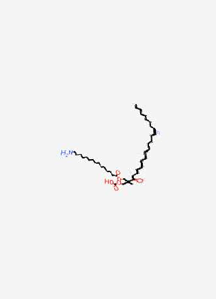 CCCCCCCC/C=C\CCCCCCCCCCCC(=O)C(C)(COC(=O)O)COC(=O)CCCCCCCCCCCCCCN